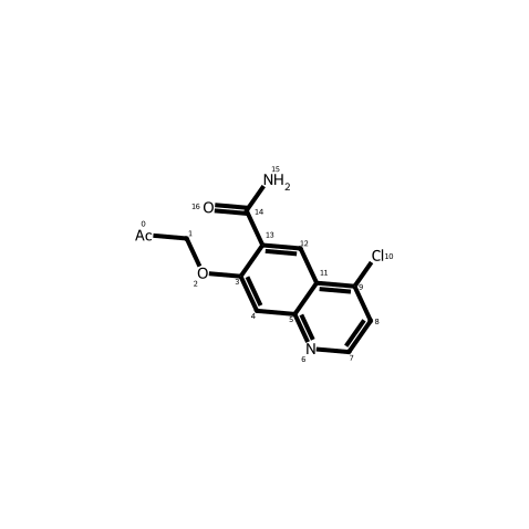 CC(=O)COc1cc2nccc(Cl)c2cc1C(N)=O